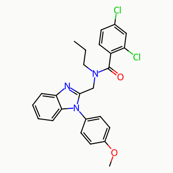 CCCN(Cc1nc2ccccc2n1-c1ccc(OC)cc1)C(=O)c1ccc(Cl)cc1Cl